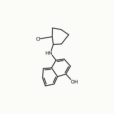 Oc1ccc(NC2CCCCC2Cl)c2ccccc12